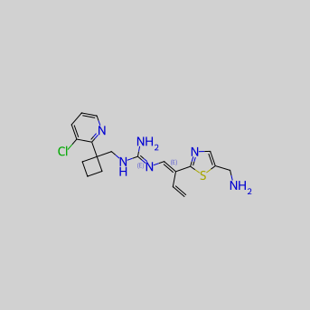 C=C/C(=C\N=C(/N)NCC1(c2ncccc2Cl)CCC1)c1ncc(CN)s1